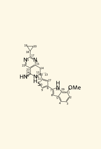 COc1cccc2cc(-c3csc([C@]4(C)Cc5nc(C6CC6)ncc5C(=N)N4)c3)[nH]c12